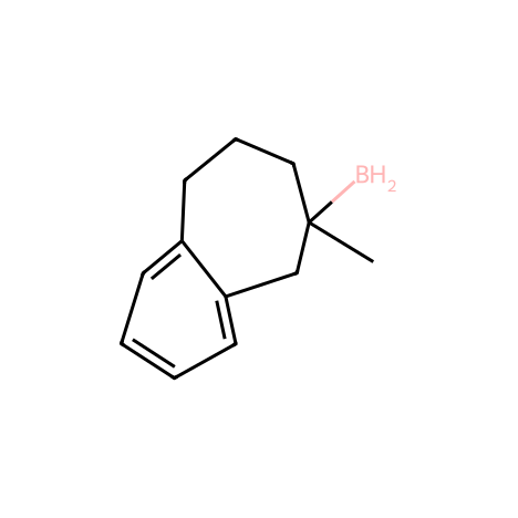 BC1(C)CCCc2ccccc2C1